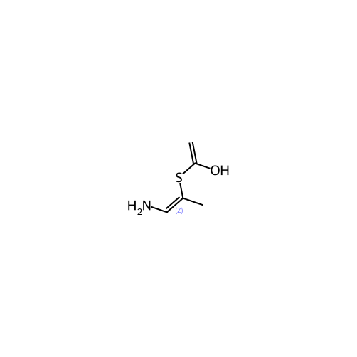 C=C(O)S/C(C)=C\N